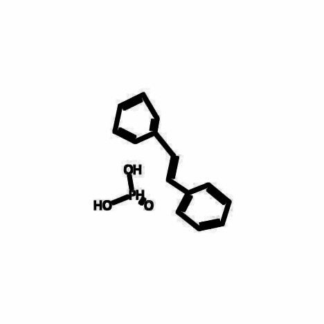 C(=Cc1ccccc1)c1ccccc1.O=[PH](O)O